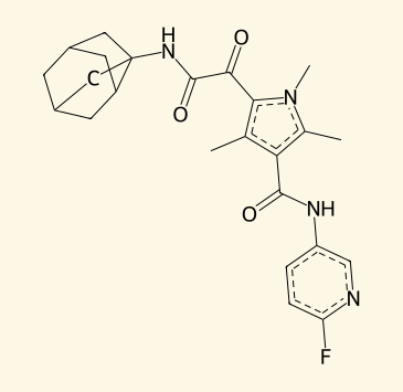 Cc1c(C(=O)Nc2ccc(F)nc2)c(C)n(C)c1C(=O)C(=O)NC12CC3CC(CC1C3)C2